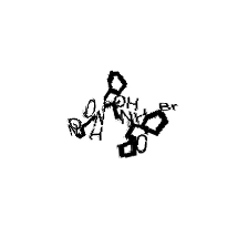 O=C(N[C@@H](Cc1ccccc1)[C@@H](O)CN[C@H]1CC2(CCC2)Oc2ccc(Br)cc21)c1ccno1